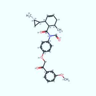 COc1cccc(C(=O)COc2ccc(N(C=O)C(=O)C3C(C)CC=CC3C3C[C@@H]3C)cc2)c1